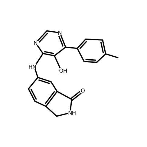 Cc1ccc(-c2ncnc(Nc3ccc4c(c3)C(=O)NC4)c2O)cc1